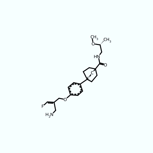 CO[C@H](C)CNC(=O)C12CCC(c3ccc(OC/C(=C/F)CN)cc3)(CC1)CC2